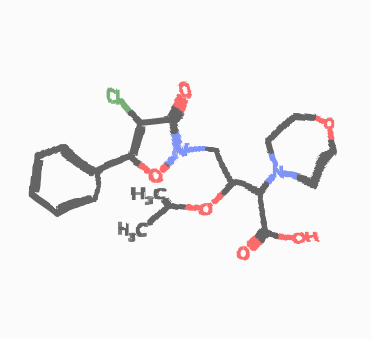 CC(C)OC(Cn1oc(-c2ccccc2)c(Cl)c1=O)C(C(=O)O)N1CCOCC1